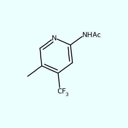 CC(=O)Nc1cc(C(F)(F)F)c(C)cn1